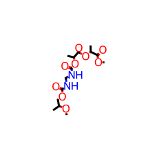 COC(=O)C(C)OC(=O)C(C)OC(=O)NCNC(=O)OCC(C)OC